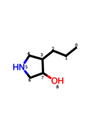 CCCC1CNCC1O